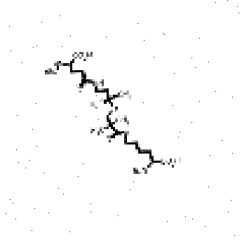 CC(C)(C)NC(CCC(=O)NCCC(C)(C)OCC(C)(C)C(=O)NCCCCC(N)C(=O)O)C(=O)O